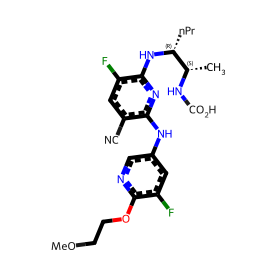 CCC[C@@H](Nc1nc(Nc2cnc(OCCOC)c(F)c2)c(C#N)cc1F)[C@H](C)NC(=O)O